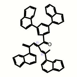 C=C(/C=C(\C=C(/C)c1cccc2ccccc12)C(=O)c1cc(-c2cccc3ccccc23)cc(-c2cccc3ccccc23)c1)c1cccc2ccccc12